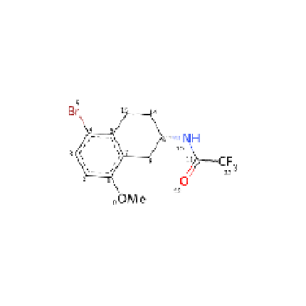 COc1ccc(Br)c2c1C[C@@H](NC(=O)C(F)(F)F)CC2